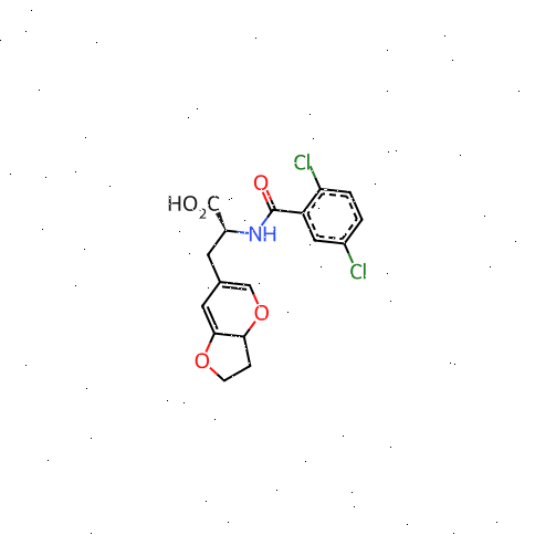 O=C(N[C@@H](CC1=COC2CCOC2=C1)C(=O)O)c1cc(Cl)ccc1Cl